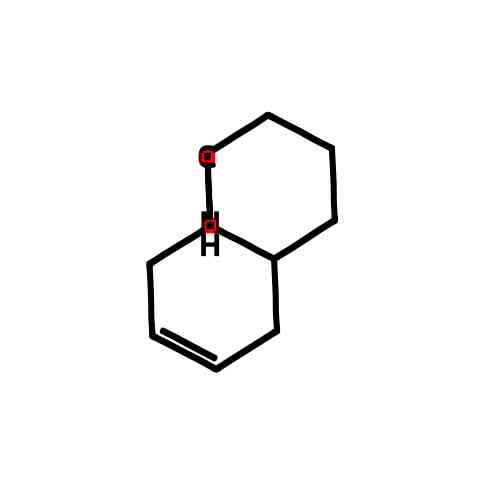 C1=CCC23NCC2CCCC3C1